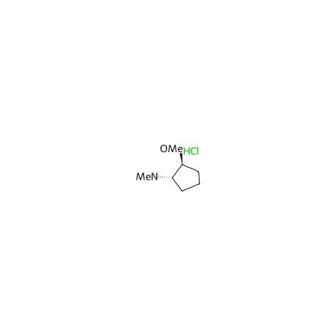 CN[C@H]1CCC[C@@H]1OC.Cl